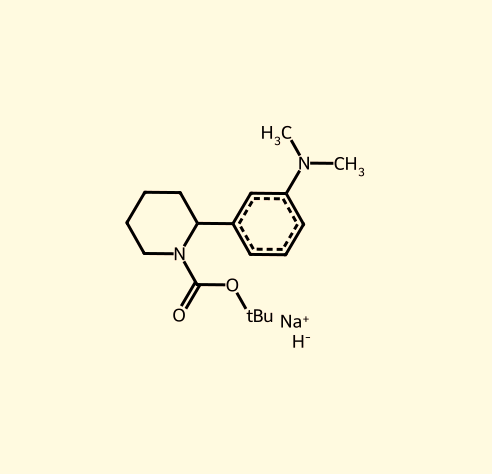 CN(C)c1cccc(C2CCCCN2C(=O)OC(C)(C)C)c1.[H-].[Na+]